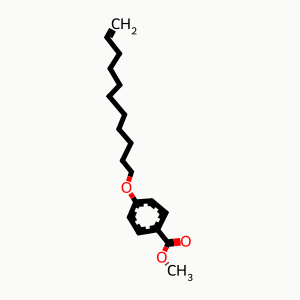 C=CCCCCCCCCCOc1ccc(C(=O)OC)cc1